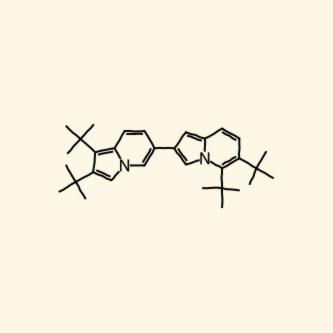 CC(C)(C)c1cn2cc(-c3cc4ccc(C(C)(C)C)c(C(C)(C)C)n4c3)ccc2c1C(C)(C)C